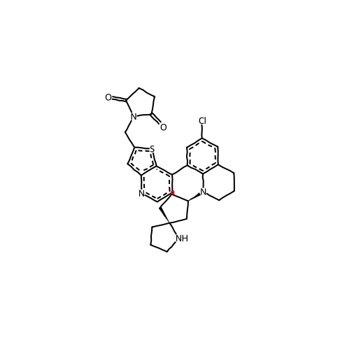 O=C1CCC(=O)N1Cc1cc2nccc(-c3cc(Cl)cc4c3N([C@@H]3CC[C@@]5(CCCN5)C3)CCC4)c2s1